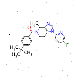 CC1c2ncn(-c3ccc(F)cn3)c2CCN1C(=O)c1ccc(C(C)(C)C)cc1